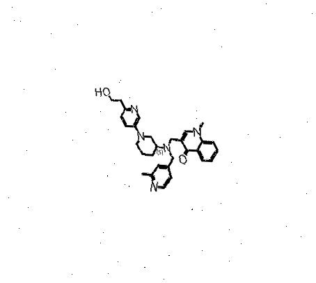 Cc1cc(CN(Cc2cn(C)c3ccccc3c2=O)[C@H]2CCCN(c3ccc(CCO)nc3)C2)ccn1